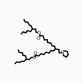 CCCCCC(CCCCC)CCOC(=O)CCCCCCCC(CCCCCCCC(=O)OCCC(CCCCC)CCCCC)CCN1CCCCC1